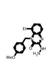 CCc1cccc2nc(NN)c(=O)n(Cc3ccc(OC)cc3)c12